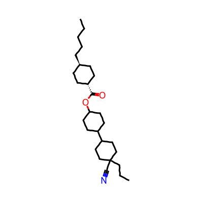 CCCCC[C@H]1CC[C@H](C(=O)OC2CCC(C3CCC(C#N)(CCC)CC3)CC2)CC1